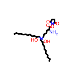 CCCCCCCCCC[C@H](O)CN(CCCC[C@H](N)C(=O)ON1C(=O)CCC1=O)C[C@@H](O)CCCCCCCCC